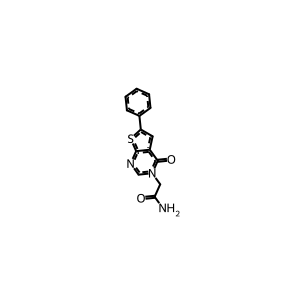 NC(=O)Cn1cnc2sc(-c3ccccc3)cc2c1=O